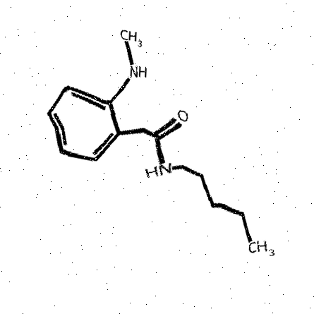 CCCCNC(=O)c1ccccc1NC